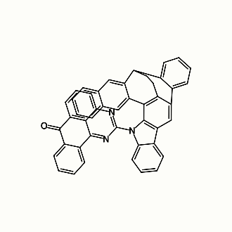 O=C1c2ccccc2-c2nc(-n3c4ccccc4c4cc5c6c(c43)-c3cc4ccccc4cc3C(CC6)c3ccccc3-5)nc3cccc1c23